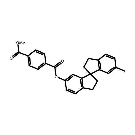 COC(=O)c1ccc(C(=O)Oc2ccc3c(c2)C2(CCc4ccc(C)cc42)CC3)cc1